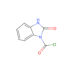 O=C(Cl)n1c(=O)[nH]c2ccccc21